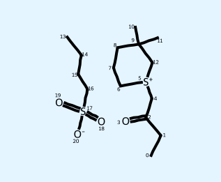 CCC(=O)C[S+]1CCCC(C)(C)C1.CCCCS(=O)(=O)[O-]